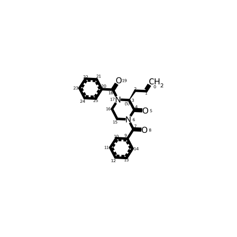 C=CC[C@H]1C(=O)N(C(=O)c2ccccc2)CCN1C(=O)c1ccccc1